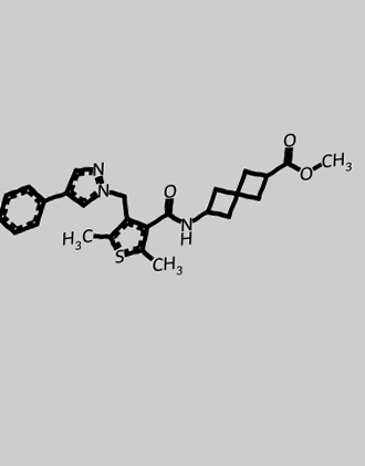 COC(=O)C1CC2(CC(NC(=O)c3c(C)sc(C)c3Cn3cc(-c4ccccc4)cn3)C2)C1